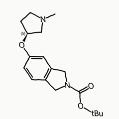 CN1CC[C@H](Oc2ccc3c(c2)CN(C(=O)OC(C)(C)C)C3)C1